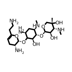 CN[C@@H]1[C@@H](O)[C@@H](O[C@H]2[C@H](NC)C[C@H](N)C(O[C@H]3OC(CCN)=CC[C@H]3N)[C@@H]2O)OC[C@]1(C)O